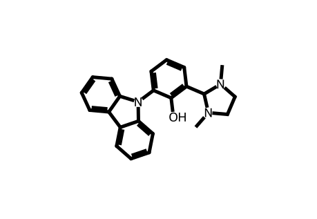 CN1CCN(C)C1c1cccc(-n2c3ccccc3c3ccccc32)c1O